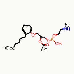 CCCCCCCCCCCCCCc1ccccc1OCC(COP(O)OCCNCC)OC(=O)CCC